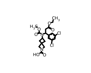 CCOC(=O)CC(c1cc(Cl)cc(Cl)c1)N(C(=O)OC)C1CC2(C1)CN(C(=O)O)C2